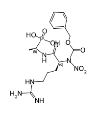 C[C@H](NC(=O)[C@H](CCCNC(=N)N)N(C(=O)OCc1ccccc1)[N+](=O)[O-])P(=O)(O)O